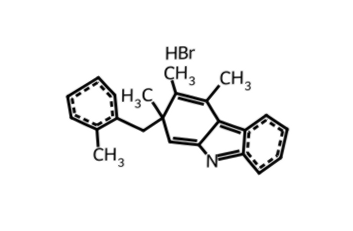 Br.CC1=C(C)C(C)(Cc2ccccc2C)C=C2N=c3ccccc3=C21